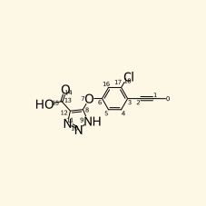 CC#Cc1ccc(Oc2[nH]nnc2C(=O)O)cc1Cl